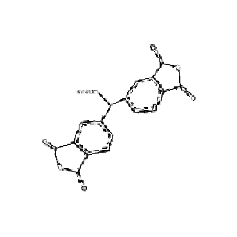 CCCCCCCCCC(c1ccc2c(c1)C(=O)OC2=O)c1ccc2c(c1)C(=O)OC2=O